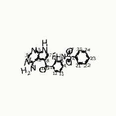 Nc1ncnc2[nH]cc(C(=O)c3cccc(NS(=O)(=O)c4ccccc4)c3F)c12